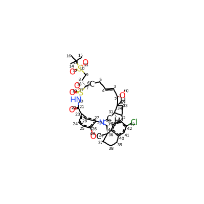 CO[C@H]1/C=C/CC[C@@H](CCS(=O)(=O)C(C)(C)C)S(=O)(=O)NC(=O)c2ccc3c(c2)N(C[C@@H]2CC[C@H]21)C[C@@]1(CCCc2cc(Cl)ccc21)CO3